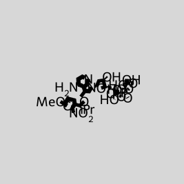 COc1ccc([C@@H](OCc2cn([C@H]3C[C@@H](O)[C@@H](COP(=O)(O)OP(=O)(O)OP(=O)(O)O)O3)c3nccc(N)c23)C(C)C)c([N+](=O)[O-])c1